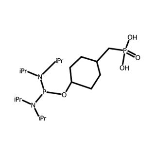 CC(C)N(C(C)C)P(OC1CCC(CP(=O)(O)O)CC1)N(C(C)C)C(C)C